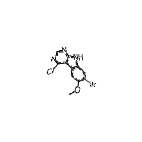 COc1cc2c(cc1Br)[nH]c1ncnc(Cl)c12